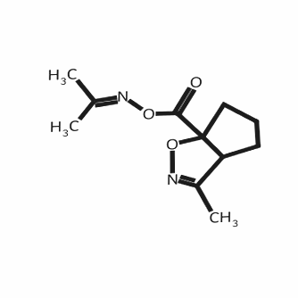 CC(C)=NOC(=O)C12CCCC1C(C)=NO2